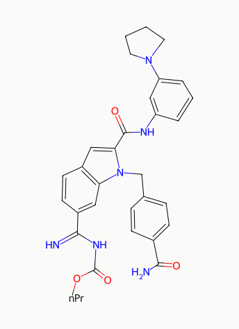 CCCOC(=O)NC(=N)c1ccc2cc(C(=O)Nc3cccc(N4CCCC4)c3)n(Cc3ccc(C(N)=O)cc3)c2c1